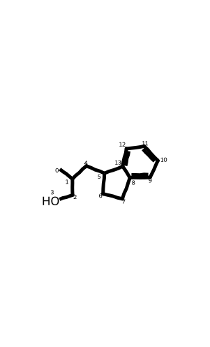 CC(CO)CC1CCc2ccccc21